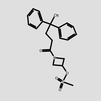 CS(=O)(=O)OC1CN(C(=O)CCC(C#N)(c2ccccc2)c2ccccc2)C1